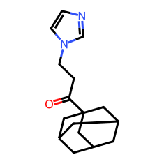 O=C(CCn1ccnc1)C12CC3CC(CC(C3)C1)C2